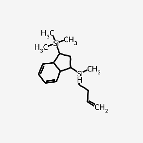 C=CCC[SiH](C)C1CC([Si](C)(C)C)C2C=CC=CC21